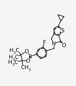 CC1(C)OB(c2ccc(CN3Cc4cc(C5CC5)sc4C3=O)c(F)c2)OC1(C)C